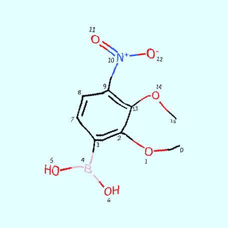 COc1c(B(O)O)ccc([N+](=O)[O-])c1OC